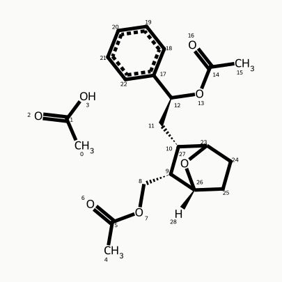 CC(=O)O.CC(=O)OC[C@@H]1[C@H](C[C@H](OC(C)=O)c2ccccc2)C2CC[C@H]1O2